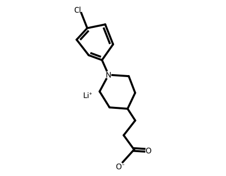 O=C([O-])CCC1CCN(c2ccc(Cl)cc2)CC1.[Li+]